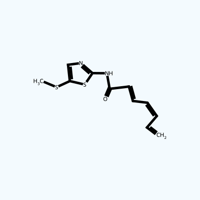 C=C/C=C\C=C\C(=O)Nc1ncc(SC)s1